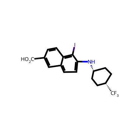 O=C(O)c1ccc2c(I)c(N[C@H]3CC[C@@H](C(F)(F)F)CC3)ccc2c1